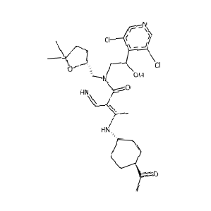 C/C(N[C@H]1CC[C@H](C(C)=O)CC1)=C(/C=N)C(=O)N(CC(O)c1c(Cl)cncc1Cl)C[C@H]1CCC(C)(C)O1